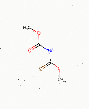 COC(=O)NC(=S)OC